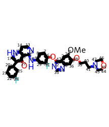 COc1cc2c(Oc3ccc(Nc4nccc5[nH]cc(-c6cccc(F)c6)c(=O)c45)cc3F)ncnc2cc1OCCCN1CCOCC1